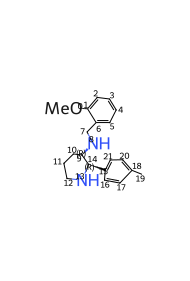 COc1ccccc1CN[C@@H]1CCCN[C@@H]1c1ccc(C)cc1